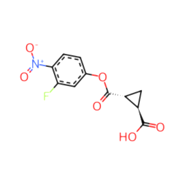 O=C(O)[C@@H]1C[C@H]1C(=O)Oc1ccc([N+](=O)[O-])c(F)c1